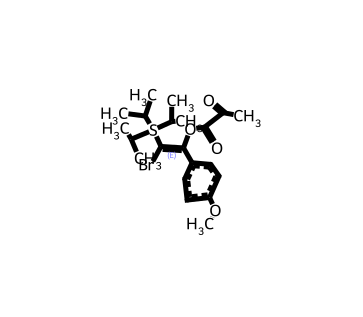 COc1ccc(/C(OC(=O)C(C)=O)=C(\Br)S(C(C)C)(C(C)C)C(C)C)cc1